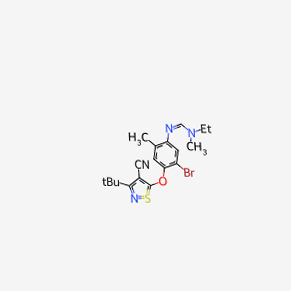 CCN(C)/C=N\c1cc(Br)c(Oc2snc(C(C)(C)C)c2C#N)cc1C